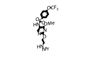 CCCNCCOc1ncc(NS(=O)(=O)c2ccc(OC(F)(F)F)cc2)c(OC)n1